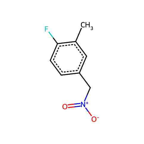 Cc1cc(C[N+](=O)[O-])ccc1F